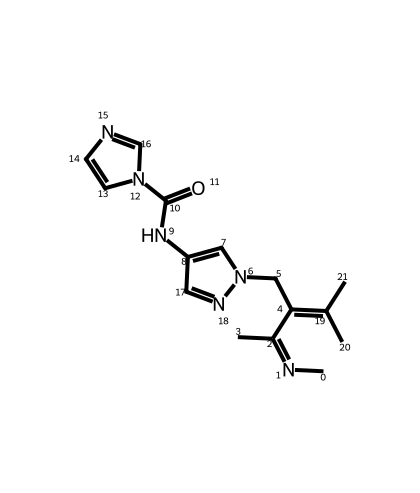 C/N=C(/C)C(Cn1cc(NC(=O)n2ccnc2)cn1)=C(C)C